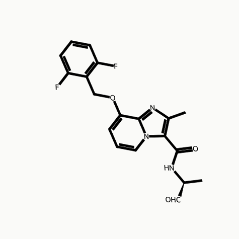 Cc1nc2c(OCc3c(F)cccc3F)cccn2c1C(=O)N[C@@H](C)C=O